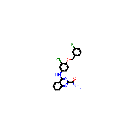 NC(=O)c1nc(Nc2ccc(OCc3cccc(F)c3)c(Cl)c2)c2c[c]ccc2n1